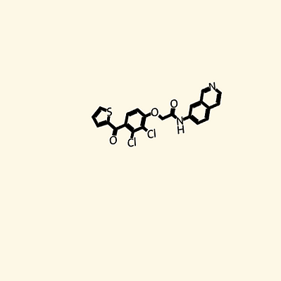 O=C(COc1ccc(C(=O)c2cccs2)c(Cl)c1Cl)Nc1ccc2ccncc2c1